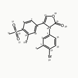 Cc1cc(-n2c(-c3ccc(S(C)(=O)=O)c(F)c3)coc2=O)ccc1Br